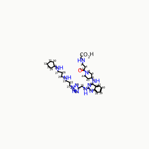 O=C(O)CNCCC(=O)N1CCC(Nc2nc(NCc3nnn(CCCNCCCNC4CCCCC4)n3)nc3ccccc23)CC1